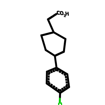 O=C(O)CC1CCC(c2ccc(Cl)cc2)CC1